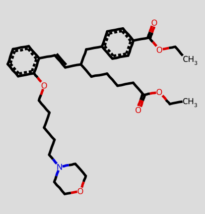 CCOC(=O)CCCCC(/C=C/c1ccccc1OCCCCCN1CCOCC1)Cc1ccc(C(=O)OCC)cc1